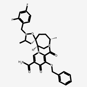 CC1C[C@@]2(CC[C@H](C)N3C[C@H]2n2cc(C(N)=O)c(=O)c(OCc4ccccc4)c2C3=O)ON1Cc1ccc(F)cc1F